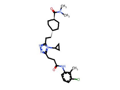 Cc1c(Cl)cccc1NC(=O)CCc1nnc(CC[C@H]2CC[C@H](C(=O)N(C)C)CC2)n1C1CC1